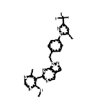 COc1ncnc(C)c1-c1ncc2cnn(Cc3ccc(-n4nc(C(F)(F)F)cc4C)cc3)c2n1